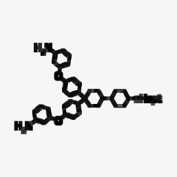 CCCCCCC[C@H]1CC[C@@H](C2CCC(c3ccc(Oc4cccc(N)c4)cc3)(c3ccc(Oc4cccc(N)c4)cc3)CC2)CC1